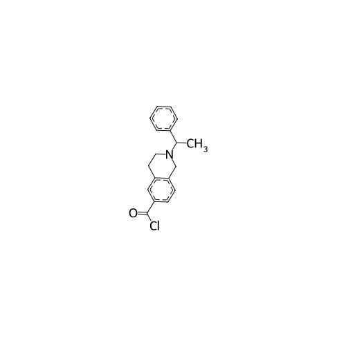 CC(c1ccccc1)N1CCc2cc(C(=O)Cl)ccc2C1